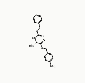 CCCC[C@H](NC(=O)OCc1ccccc1)C(=O)OCc1ccc([N+](=O)[O-])cc1